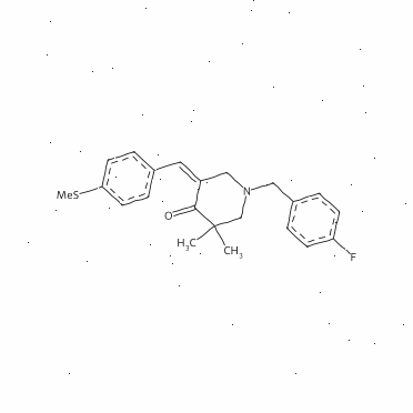 CSc1ccc(/C=C2/CN(Cc3ccc(F)cc3)CC(C)(C)C2=O)cc1